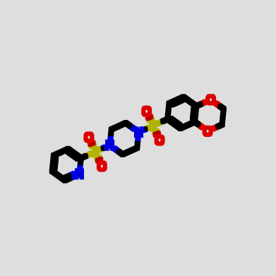 O=S(=O)(c1ccc2c(c1)OCCO2)N1CCN(S(=O)(=O)c2ccccn2)CC1